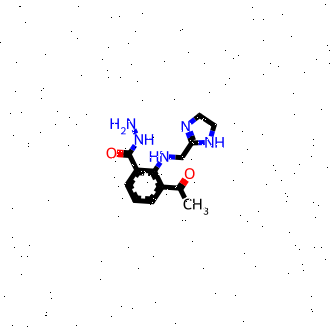 CC(=O)c1cccc(C(=O)NN)c1NCC1=NCCN1